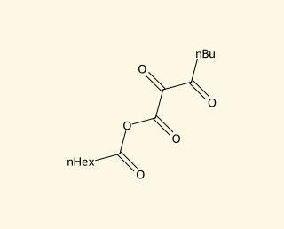 CCCCCCC(=O)OC(=O)C(=O)C(=O)CCCC